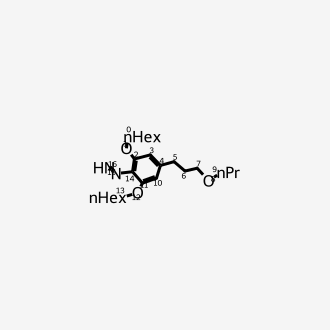 CCCCCCOc1cc(CCCOCCC)cc(OCCCCCC)c1N=N